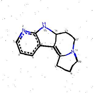 c1cnc2c(c1)C1=C3CCCN3CCC1N2